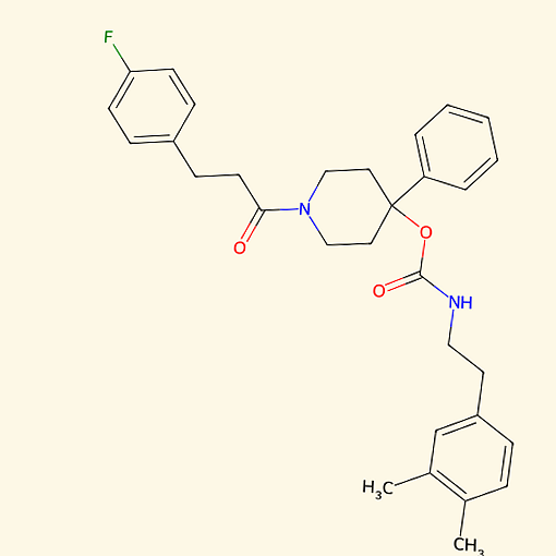 Cc1ccc(CCNC(=O)OC2(c3ccccc3)CCN(C(=O)CCc3ccc(F)cc3)CC2)cc1C